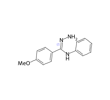 COc1ccc(/C(=N/N)Nc2ccccc2)cc1